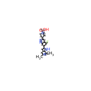 Cc1cc2cc(-c3cc(F)c4cc(C5CCN(C(=O)O)CC5)nnc4c3)[nH]c2c(C)n1